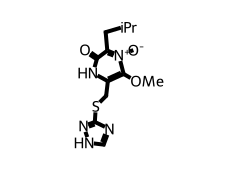 COc1c(CSc2nc[nH]n2)[nH]c(=O)c(CC(C)C)[n+]1[O-]